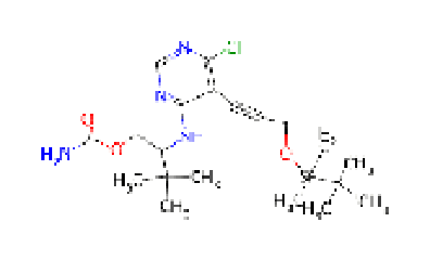 CC(C)(C)C(COC(N)=O)Nc1ncnc(Cl)c1C#CCO[Si](C)(C)C(C)(C)C